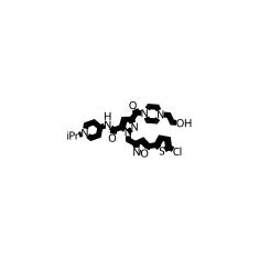 CC(C)N1CCC(NC(=O)c2cc(C(=O)N3CCN(CCO)CC3)nn2Cc2cc(-c3ccc(Cl)s3)on2)CC1